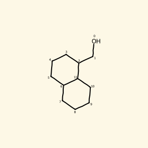 OCC1CCCC2CCCCC12